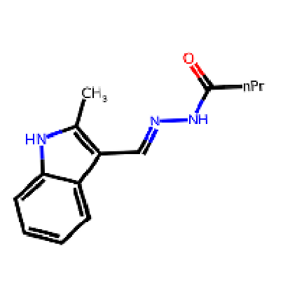 CCCC(=O)NN=Cc1c(C)[nH]c2ccccc12